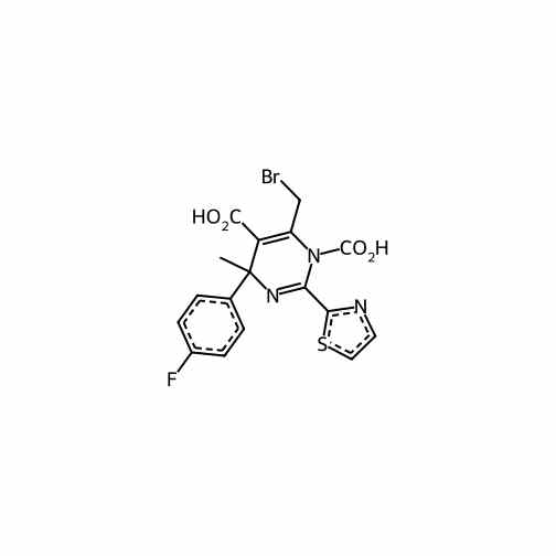 CC1(c2ccc(F)cc2)N=C(c2nccs2)N(C(=O)O)C(CBr)=C1C(=O)O